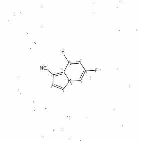 N#Cc1ccn2cc(F)cc(F)c12